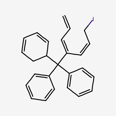 C=C/C=C(\C=C/CI)C(c1ccccc1)(c1ccccc1)C1C=CC=CC1